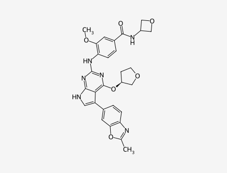 COc1cc(C(=O)NC2COC2)ccc1Nc1nc(O[C@H]2CCOC2)c2c(-c3ccc4nc(C)oc4c3)c[nH]c2n1